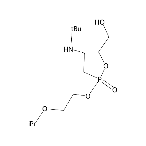 CC(C)OCCOP(=O)(CCNC(C)(C)C)OCCO